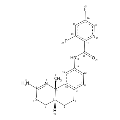 C[C@]12N=C(N)SC[C@H]1CCc1ccc(NC(=O)c3ncc(F)cc3F)cc12